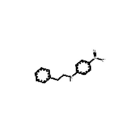 O=[N+]([O-])c1ccc(NCCc2ccccc2)cc1